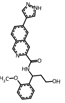 COc1ccccc1C(CCO)NC(=O)c1cc2cc(-c3cn[nH]c3)ccc2cn1